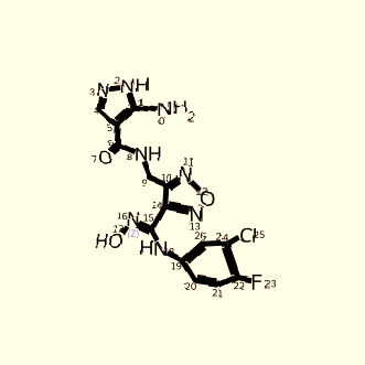 Nc1[nH]ncc1C(=O)NCc1nonc1/C(=N/O)Nc1ccc(F)c(Cl)c1